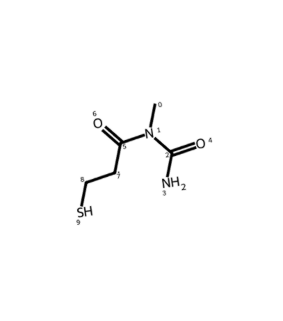 CN(C(N)=O)C(=O)[CH]CS